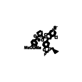 COc1ccc(S(=O)(=O)N2CCS[C@H]2C(=O)O[C@@H](Cc2c(Cl)c[n+]([O-])cc2Cl)c2ccc(OC(F)F)c(OCC3CC3)c2)cc1OC